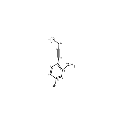 Cc1cc(F)ccc1C#CCN